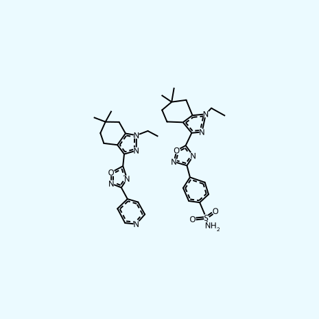 CCn1nc(-c2nc(-c3ccc(S(N)(=O)=O)cc3)no2)c2c1CC(C)(C)CC2.CCn1nc(-c2nc(-c3ccncc3)no2)c2c1CC(C)(C)CC2